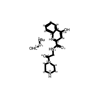 CCCCOC=O.O=C(NCC(=O)N1CCNCC1)c1cc(O)c2ccccc2n1